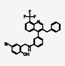 Oc1ccc(Br)cc1CNc1cccc(-c2c(Cc3ccccc3)cnc3c(C(F)(F)F)cccc23)c1